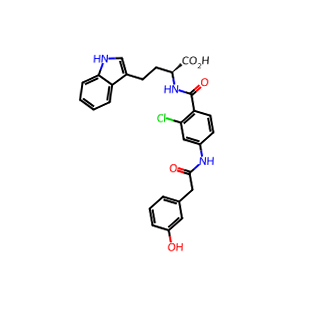 O=C(Cc1cccc(O)c1)Nc1ccc(C(=O)N[C@@H](CCc2c[nH]c3ccccc23)C(=O)O)c(Cl)c1